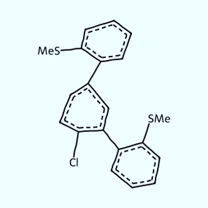 CSc1ccccc1-c1ccc(Cl)c(-c2ccccc2SC)c1